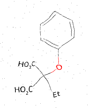 CCC(Oc1ccccc1)(C(=O)O)C(=O)O